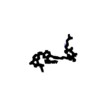 CCCNc1nc(Nc2ccc3c(c2)c(N(C)C)nn3C)ncc1C#CCCCNC(=O)[C@H](C)N(C)C(=O)/C=C/CN(C)C